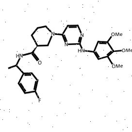 COc1cc(Nc2nccc(N3CCC[C@H](C(=O)NC(C)c4ccc(F)cc4)C3)n2)cc(OC)c1OC